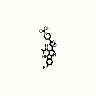 CC(C)Nc1c(-c2cc(C3CCN(C(=O)O)CC3)no2)cnc2c1[nH]c1cc(Br)ccc12